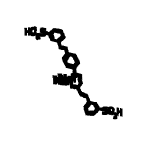 O=S(=O)(O)c1cccc(/C=C/c2ccc(-c3ccc(/C=C/c4cccc(S(=O)(=O)O)c4)cc3)cc2)c1.[NaH].[NaH]